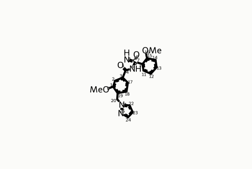 COc1cc(C(=O)NS(=N)(=O)c2ccccc2OC)ccc1Cn1cccn1